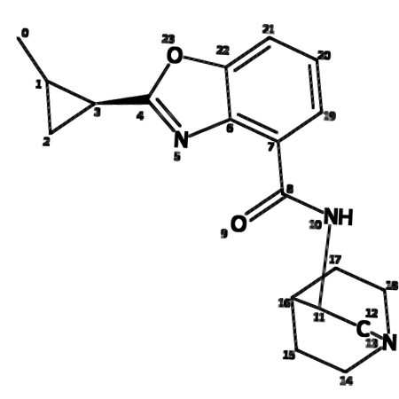 CC1C[C@@H]1c1nc2c(C(=O)NC3CN4CCC3CC4)cccc2o1